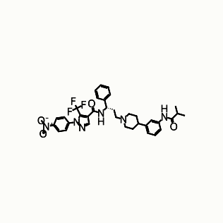 CC(C)C(=O)Nc1cccc(C2CCN(CC[C@H](NC(=O)c3cnn(-c4ccc([N+](=O)[O-])cc4)c3C(F)(F)F)c3ccccc3)CC2)c1